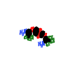 Nc1cc(Oc2ccc(S(=O)(=O)c3ccc(Oc4cc(N)cc(C(Cl)(Cl)Cl)c4)cc3)cc2)cc(C(Cl)(Cl)Cl)c1